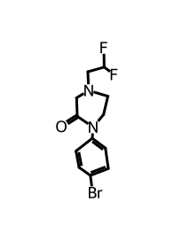 O=C1CN(CC(F)F)CCN1c1ccc(Br)cc1